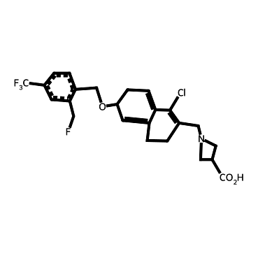 O=C(O)C1CN(CC2=C(Cl)C3=CCC(OCc4ccc(C(F)(F)F)cc4CF)C=C3CC2)C1